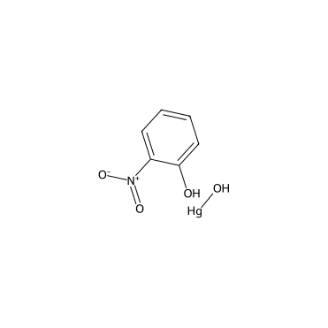 O=[N+]([O-])c1ccccc1O.[OH][Hg]